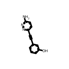 Nc1ccc(C#Cc2cccc(O)c2)nn1